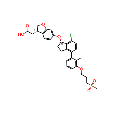 Cc1c(OCCCS(C)(=O)=O)cccc1-c1ccc(F)c2c1CC[C@H]2Oc1ccc2c(c1)OC[C@H]2CC(=O)O